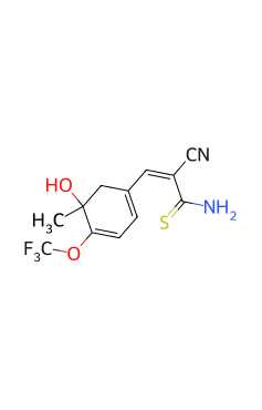 CC1(O)CC(C=C(C#N)C(N)=S)=CC=C1OC(F)(F)F